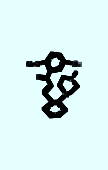 COc1ccc(C(C)(C)C)cc1C(=O)C=Cc1ccccc1N1CCN(C)CC1